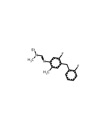 CCN(C)/C=N/c1cc(F)c(Cc2ccccc2F)cc1C